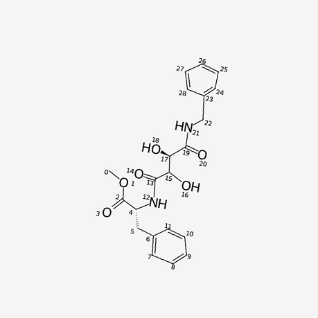 COC(=O)[C@@H](Cc1ccccc1)NC(=O)C(O)[C@@H](O)C(=O)NCc1ccccc1